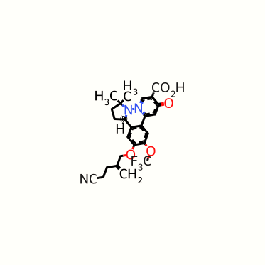 C=C(CCC#N)COc1cc2c(cc1OC(F)(F)F)-c1cc(=O)c(C(=O)O)cn1N1[C@@H]2CCC1(C)C